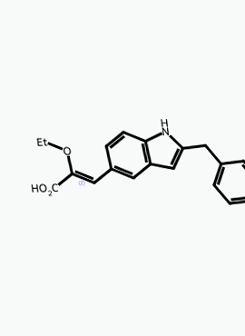 CCO/C(=C\c1ccc2[nH]c(Cc3ccccc3)cc2c1)C(=O)O